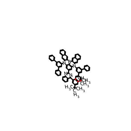 CC(C)(C)c1cc(-c2nc(-c3cc4c5c(c3)N(c3cc(-c6ccccc6)cc(-c6ccccc6)c3)c3cc6ccccc6cc3B5c3cc5ccccc5cc3N4c3cc(-c4ccccc4)cc(-c4ccccc4)c3)nc3ccccc23)cc(C(C)(C)C)c1